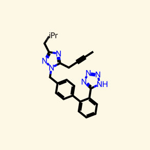 CC#CCc1nc(CC(C)C)nn1Cc1ccc(-c2ccccc2-c2nnn[nH]2)cc1